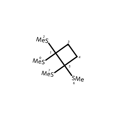 CSC1(SC)[CH]CC1(SC)SC